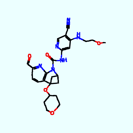 COCCNc1cc(NC(=O)N2c3nc(C=O)ccc3C3(OC4CCOCC4)CC2C3)ncc1C#N